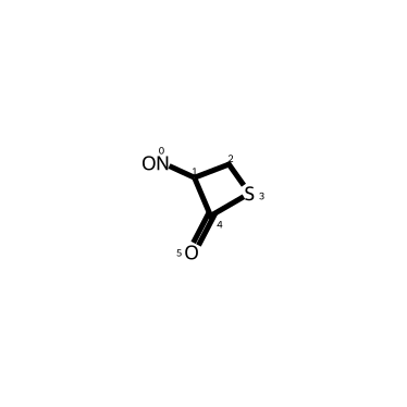 O=NC1CSC1=O